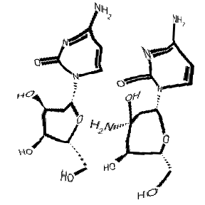 Nc1ccn([C@@H]2O[C@H](CO)[C@@H](O)[C@@]2(N)O)c(=O)n1.Nc1ccn([C@@H]2O[C@H](CO)[C@@H](O)[C@H]2O)c(=O)n1